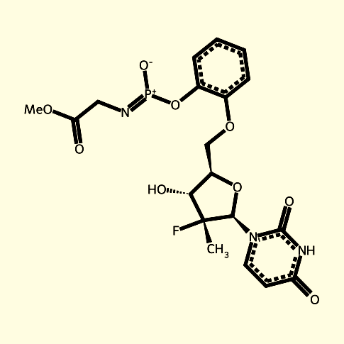 COC(=O)C/N=[P+](\[O-])Oc1ccccc1OC[C@H]1O[C@@H](n2ccc(=O)[nH]c2=O)[C@](C)(F)[C@@H]1O